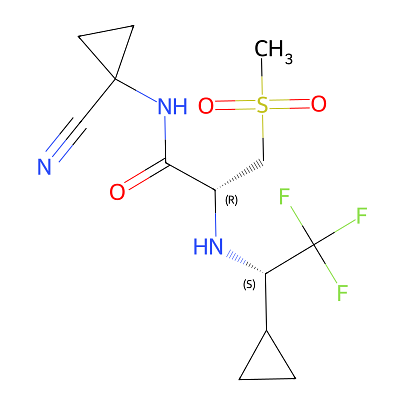 CS(=O)(=O)C[C@H](N[C@@H](C1CC1)C(F)(F)F)C(=O)NC1(C#N)CC1